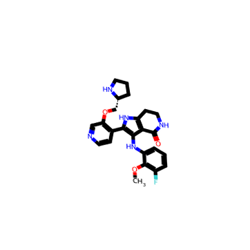 COc1c(F)cccc1Nc1c(-c2ccncc2OC[C@H]2CCCN2)[nH]c2c1C(=O)NCC2